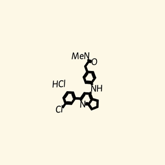 CNC(=O)Cc1ccc(Nc2cc(-c3cccc(Cl)c3)nc3c2CCC3)cc1.Cl